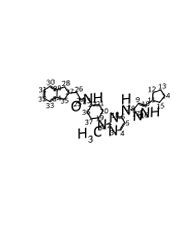 CN(c1nccc(Nc2cc(C3CCCC3)[nH]n2)n1)[C@H]1CC[C@H](NC(=O)CC2Cc3ccccc3C2)CC1